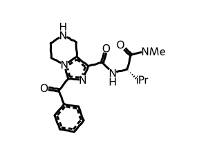 CNC(=O)[C@@H](NC(=O)c1nc(C(=O)c2ccccc2)n2c1CNCC2)C(C)C